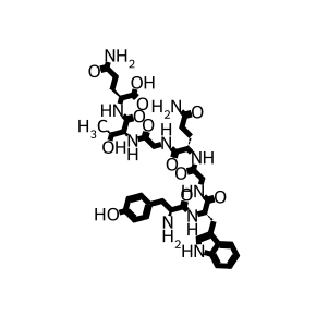 C[C@@H](O)[C@H](NC(=O)CNC(=O)[C@H](CCC(N)=O)NC(=O)CNC(=O)[C@H](Cc1c[nH]c2ccccc12)NC(=O)[C@@H](N)Cc1ccc(O)cc1)C(=O)N[C@@H](CCC(N)=O)C(=O)O